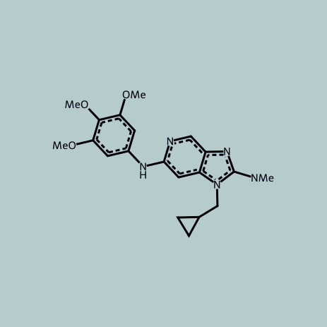 CNc1nc2cnc(Nc3cc(OC)c(OC)c(OC)c3)cc2n1CC1CC1